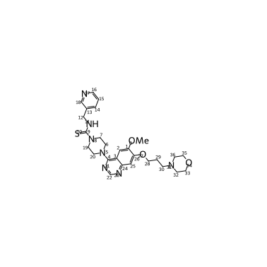 COc1cc2c(N3CCN(C(=S)NCc4cccnc4)CC3)ncnc2cc1OCCCN1CCOCC1